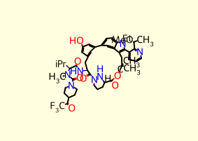 CCn1c(-c2cccnc2[C@H](C)OC)c2c3cc(ccc31)-c1cc(O)cc(c1)C[C@H](NC(=O)[C@H](C(C)C)N(C)C(=O)N1CCC(C(=O)C(F)(F)F)CC1)C(=O)N1CCC[C@H](N1)C(=O)OCC(C)(C)C2